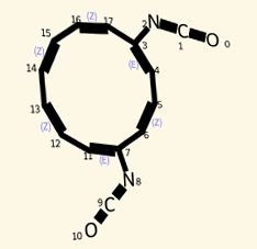 O=C=NC1=C/C=C\C(N=C=O)=C/C=C\C=C/C=C\1